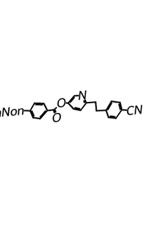 CCCCCCCCCc1ccc(C(=O)Oc2ccc(CCc3ccc(C#N)cc3)nc2)cc1